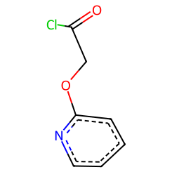 O=C(Cl)COc1ccccn1